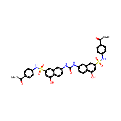 COC(=O)c1ccc(NS(=O)(=O)c2cc(O)c3ccc(NC(=O)Nc4ccc5c(O)cc(S(=O)(=O)Nc6ccc(C(=O)OC)cc6)cc5c4)cc3c2)cc1